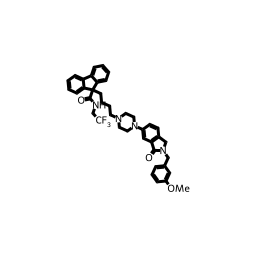 COc1cccc(CN2Cc3ccc(N4CCN(CCCCC5(C(=O)NCC(F)(F)F)c6ccccc6-c6ccccc65)CC4)cc3C2=O)c1